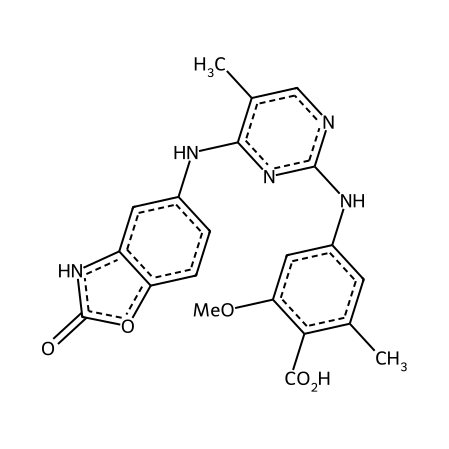 COc1cc(Nc2ncc(C)c(Nc3ccc4oc(=O)[nH]c4c3)n2)cc(C)c1C(=O)O